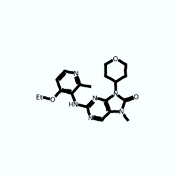 CCOc1ccnc(C)c1Nc1ncc2c(n1)n(C1CCOCC1)c(=O)n2C